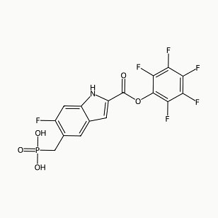 O=C(Oc1c(F)c(F)c(F)c(F)c1F)c1cc2cc(CP(=O)(O)O)c(F)cc2[nH]1